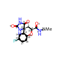 CNNC(=O)[C@@H]1C[C@]2(NC(=O)NC2=O)c2cc(F)ccc2O1